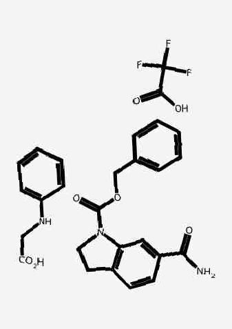 NC(=O)c1ccc2c(c1)N(C(=O)OCc1ccccc1)CC2.O=C(O)C(F)(F)F.O=C(O)CNc1ccccc1